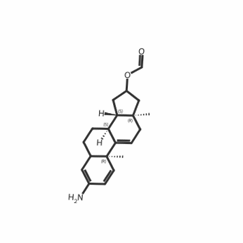 C[C@]12CC=C3[C@@H](CCC4C=C(N)C=C[C@]34C)[C@@H]1CC(OC=O)C2